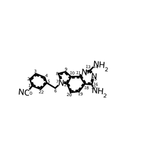 N#Cc1cccc(Cn2ccc3c4nc(N)nc(N)c4ccc32)c1